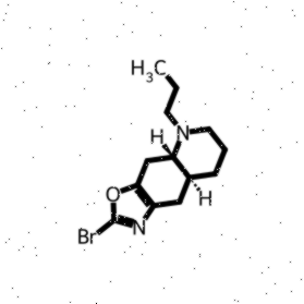 CCCN1CCC[C@H]2Cc3nc(Br)oc3C[C@@H]21